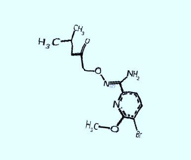 COc1nc(/C(N)=N/OCC(=O)CC(C)C)ccc1Br